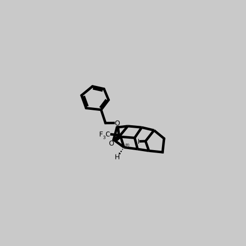 O=C(OCc1ccccc1)C1C2C3CCC(C3I)C1[C@H]1CCC2C1C(F)(F)F